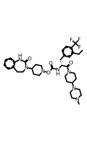 CCc1cc(C[C@@H](NC(=O)ON2CCC(N3CCc4ccccc4NC3=O)CC2)C(=O)N2CCC(N3CCN(C)CC3)CC2)ccc1C(F)(F)F